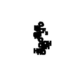 O=C(NC(CO)CO)[C@@H](O)c1ccc(-c2noc(-c3cnn(-c4ccccc4)c3C(F)(F)F)n2)cc1